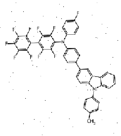 Cc1ccc(-n2c3ccccc3c3cc(-c4ccc(N(c5ccc(F)cc5)c5c(F)c(F)c(-c6c(F)c(F)c(F)c(F)c6F)c(F)c5F)cc4)ccc32)cc1